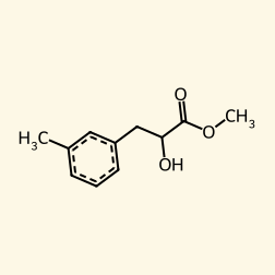 COC(=O)C(O)Cc1cccc(C)c1